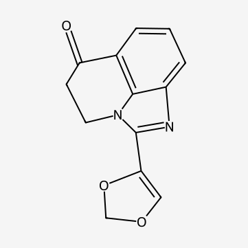 O=C1CCn2c(C3=COCO3)nc3cccc1c32